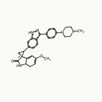 COC1=CCC2NC(=O)[C@@]3(CC3c3ccc4c(-c5ccc(N6CCN(C)CC6)cc5)n[nH]c4c3)C2=C1